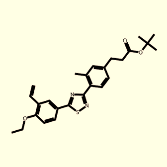 C=Cc1cc(-c2nc(-c3ccc(CCC(=O)OC(C)(C)C)cc3C)ns2)ccc1OCC